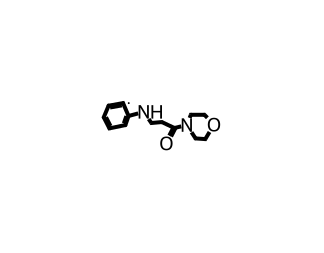 O=C(CCNc1[c]cccc1)N1CCOCC1